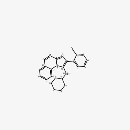 Ic1ccccc1-c1nc2ccc3ccccc3n2c1NC1CCCCC1